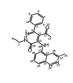 CCn1nc(-c2ccccc2)c(C(C)=O)c(Nc2cccc3nnc(C)cc23)c1=O